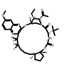 CC[C@@H]1[C@@H]2CN(C(=O)[C@H](C(C)(C)C)NC(=O)O[C@@H]3CCC[C@H]3CCCC(F)(F)C(F)(F)c3nc4ccc(OC)cc4nc3O2)[C@@H]1C(C)=O